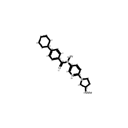 CNC1CCN(c2ccc(N(C(=O)c3ccc(C4CCCCC4)cc3)C(C)C)cn2)C1